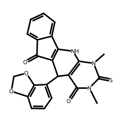 Cn1c2c(c(=O)n(C)c1=S)C(c1cccc3c1OCO3)C1=C(N2)c2ccccc2C1=O